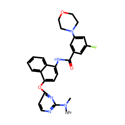 CCCN(C)c1nccc(Oc2ccc(NC(=O)c3cc(F)cc(N4CCOCC4)c3)c3ccccc23)n1